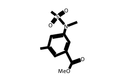 COC(=O)c1cc(C)cc(N(C)S(C)(=O)=O)c1